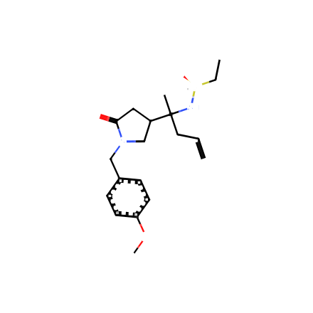 C=CCC(C)(N[S@@+]([O-])CC)C1CC(=O)N(Cc2ccc(OC)cc2)C1